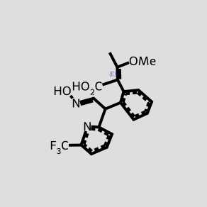 CO/C(C)=C(/C(=O)O)c1ccccc1C(C=NO)c1cccc(C(F)(F)F)n1